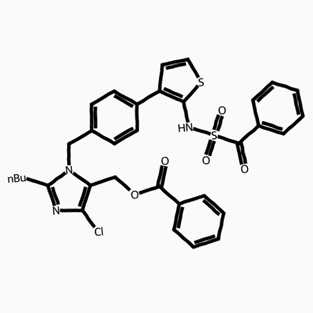 CCCCc1nc(Cl)c(COC(=O)c2ccccc2)n1Cc1ccc(-c2ccsc2NS(=O)(=O)C(=O)c2ccccc2)cc1